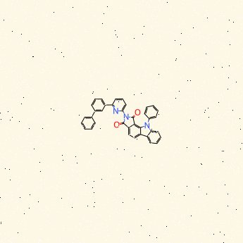 O=C1c2ccc3c4ccccc4n(-c4ccccc4)c3c2C(=O)N1c1cccc(-c2cccc(-c3ccccc3)c2)n1